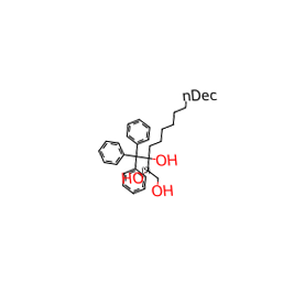 CCCCCCCCCCCCCCCCC(O)([C@@H](O)CO)C(c1ccccc1)(c1ccccc1)c1ccccc1